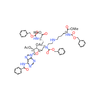 COC(=O)[C@H](CCCCNCCN(C(=O)OCc1ccccc1)[C@@H](CC[C@H](NC(=O)OCc1ccccc1)C(=O)OC)C[C@H]1O[C@@H](n2cnc3c(NC(=O)c4ccccc4)ncnc32)[C@@H](OC(C)=O)C1OC(C)=O)NC(=O)OCc1ccccc1